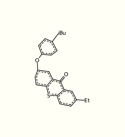 CCc1ccc2sc3ccc(Oc4ccc(C(C)CC)cc4)cc3c(=O)c2c1